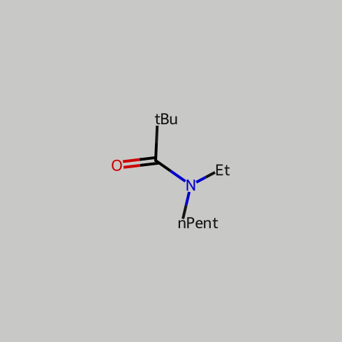 CCCCCN(CC)C(=O)C(C)(C)C